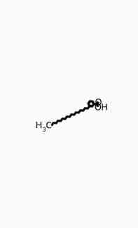 CCCCCCCCCCCCCCCCCCc1cccc(C(=O)O)c1